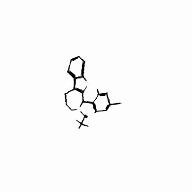 Cc1cc(F)c(C2c3[nH]c4ccccc4c3CCCN2C(=O)C(C)(C)F)c(F)c1